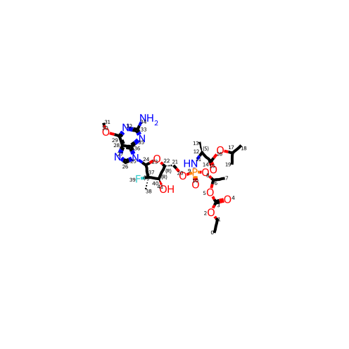 CCOC(=O)OC(C)OP(=O)(N[C@@H](C)C(=O)OC(C)C)OC[C@H]1OC(n2cnc3c(OC)nc(N)nc32)[C@](C)(F)[C@@H]1O